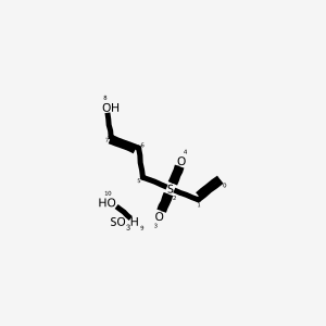 C=CS(=O)(=O)CC=CO.O=S(=O)(O)O